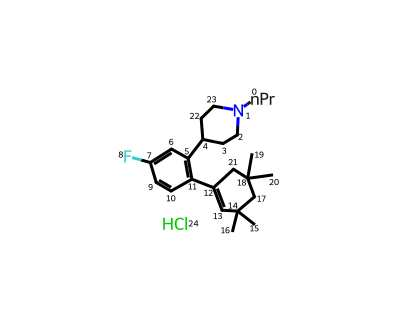 CCCN1CCC(c2cc(F)ccc2C2=CC(C)(C)CC(C)(C)C2)CC1.Cl